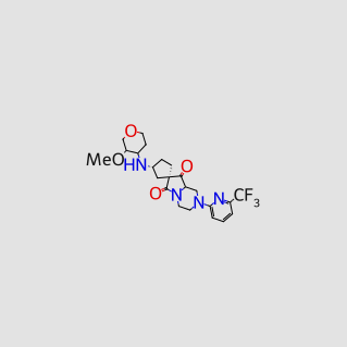 COC1COCCC1N[C@@H]1CC[C@]2(C1)C(=O)C1CN(c3cccc(C(F)(F)F)n3)CCN1C2=O